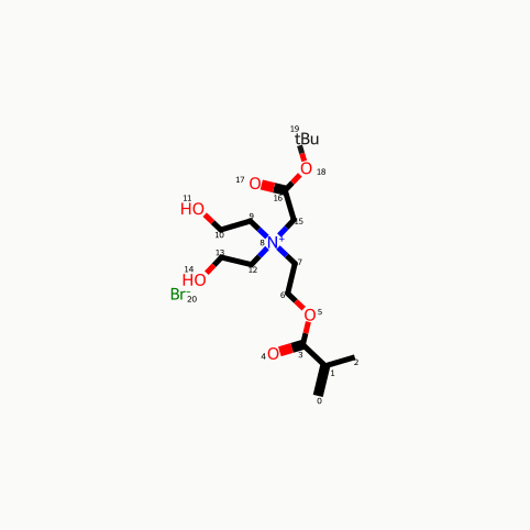 C=C(C)C(=O)OCC[N+](CCO)(CCO)CC(=O)OC(C)(C)C.[Br-]